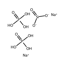 O=P(O)(O)O.O=P(O)(O)O.O=[Si]([O-])[O-].[Na+].[Na+]